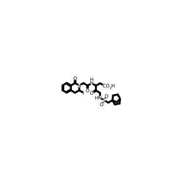 O=C(O)CC(NC(=O)CN1C(=O)c2ccccc2CC1I)C(=O)CNS(=O)(=O)CC12CCC(CC1)C2